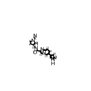 N#CN1CC[C@H](CNC(=O)c2cn3cc(-c4cn[nH]c4)ccc3n2)C1